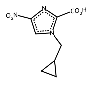 O=C(O)c1nc([N+](=O)[O-])cn1CC1CC1